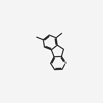 Cc1cc(C)c2c(c1)-c1cccnc1C2